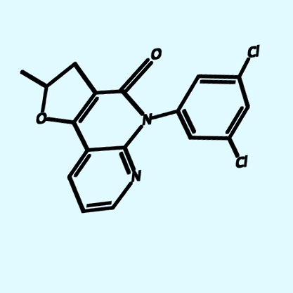 CC1Cc2c(c3cccnc3n(-c3cc(Cl)cc(Cl)c3)c2=O)O1